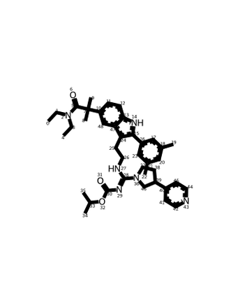 CCN(CC)C(=O)C(C)(C)c1ccc2[nH]c(-c3cc(C)cc(C)c3)c(CCN/C(=N\C(=O)OC(C)C)N3CCC(c4ccncc4)C3)c2c1